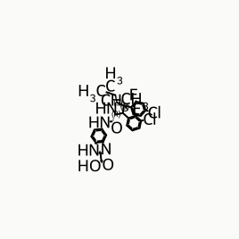 CC(C)(C)C[C@@H]1N[C@@H](C(=O)Nc2ccc3[nH]c(C(=O)O)nc3c2)C(c2cccc(Cl)c2F)[C@@]1(C)c1ccc(Cl)cc1F